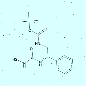 CC(C)(C)OC(=O)NCC(NC(=O)NS)c1ccccc1